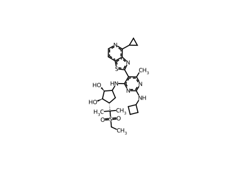 CCS(=O)(=O)C(C)(C)[C@H]1CC(Nc2nc(NC3CCC3)nc(C)c2-c2nc3c(C4CC4)nccc3s2)[C@H](O)[C@@H]1O